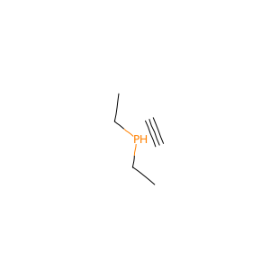 C#C.CCPCC